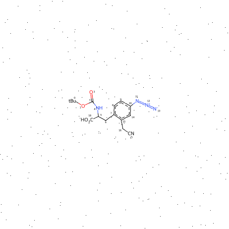 CC(C)(C)OC(=O)NC(Cc1ccc(N=[N+]=[N-])cc1CC#N)C(=O)O